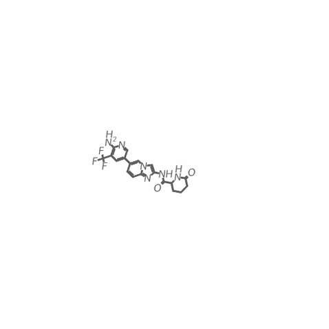 Nc1ncc(-c2ccc3nc(NC(=O)C4CCCC(=O)N4)cn3c2)cc1C(F)(F)F